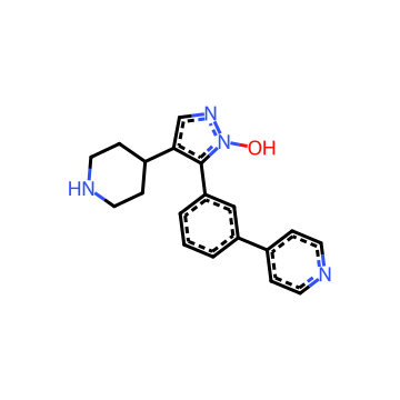 On1ncc(C2CCNCC2)c1-c1cccc(-c2ccncc2)c1